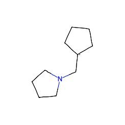 C1CC[C](CN2CCCC2)C1